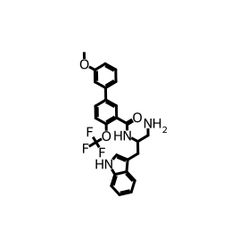 COc1cccc(-c2ccc(OC(F)(F)F)c(C(=O)NC(CN)Cc3c[nH]c4ccccc34)c2)c1